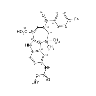 CC(C)OC(=O)Nc1ccc2[nH]c3c(c2c1)C(C)(C)CN(C(=O)c1ccc(F)cc1)C=C3C(=O)O